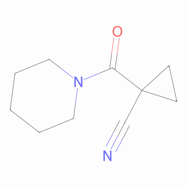 N#CC1(C(=O)N2CCCCC2)CC1